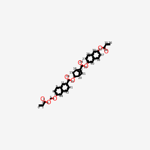 C=CC(=O)OCOc1ccc2cc(C(=O)OC3CC4CC3CC4C(=O)Oc3ccc4cc(OC(=O)C=C)ccc4c3)ccc2c1